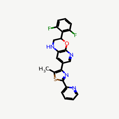 Cc1sc(-c2ccccn2)nc1-c1cnc2c(c1)NCC(c1c(F)cccc1F)O2